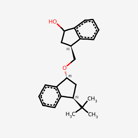 CC(C)(C)[C@@H]1C[C@@H](OC[C@H]2CC(O)c3ccccc32)c2ccccc21